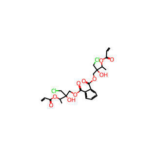 C=CC(=O)OC(C)C(O)(CCl)COC(=O)c1ccccc1C(=O)OCC(O)(CCl)C(C)OC(=O)C=C